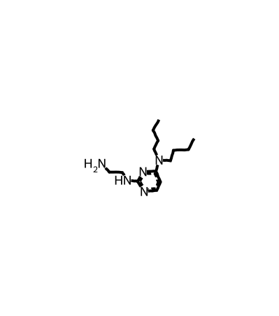 CCCCN(CCCC)c1ccnc(NCCN)n1